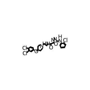 O=C(NCCN1CCC(Oc2ccc(Cl)c(Cl)c2)CC1)c1nnc(Nc2ccccc2Cl)o1